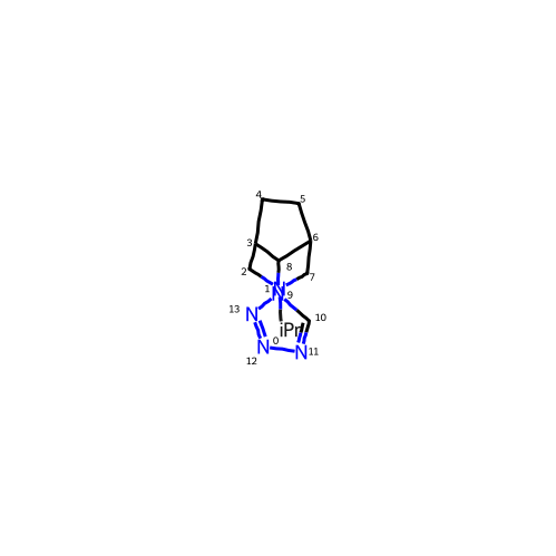 CC(C)N1CC2CCC(C1)C2n1cnnn1